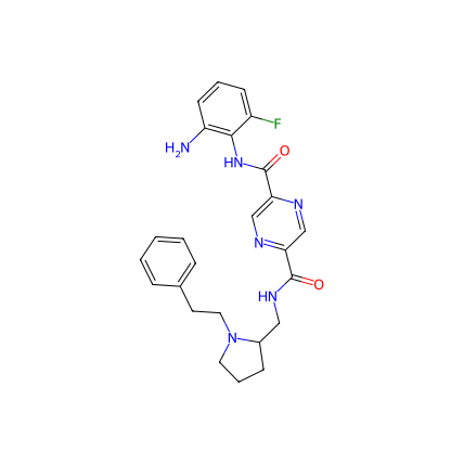 Nc1cccc(F)c1NC(=O)c1cnc(C(=O)NCC2CCCN2CCc2ccccc2)cn1